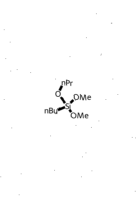 CCCC[Si](OC)(OC)OCCC